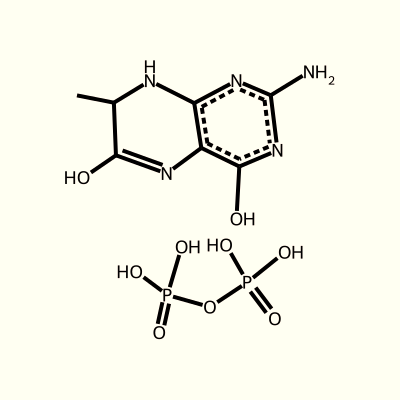 CC1Nc2nc(N)nc(O)c2N=C1O.O=P(O)(O)OP(=O)(O)O